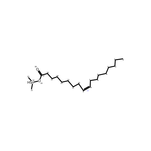 CCCCCCCC/C=C\CCCCCCCC(=O)[O][SnH]([CH3])[CH3]